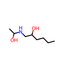 CCCCC(O)CNC(C)O